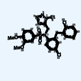 CCn1nnnc1CN(c1ccc(Cl)cc1Cc1ccccc1Cl)S(=O)(=O)c1ccc(OC)c(OC)c1